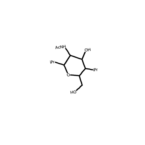 CC(=O)NC1C(O)C(C(C)C)C(CO)OC1C(C)C